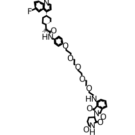 C[C@@H](C(=O)Nc1ccc(OCCOCCOCCOCCOCCNc2cccc3c2C(=O)N(C2CCC(=O)NC2=O)C3=O)cc1)[C@H]1CC[C@@H](c2ccnc3ccc(F)cc32)CC1